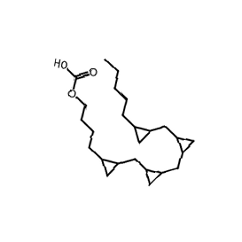 CCCCCC1CC1CC1CC1CC1CC1CC1CC1CCCCOC(=O)O